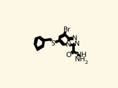 NNC(=O)c1nnc2c(Br)cc(SCc3ccccc3)cn12